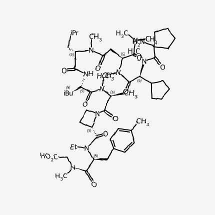 CC[C@H](C)[C@H](NC(=O)[C@H](CC(C)C)N(C)C(=O)C[C@@H](C(=O)N(C)C)N(C)C(=O)[C@H](C1CCCC1)N(C)C(=O)C1(N)CCCC1)C(=O)N(C)[C@@H](C)C(=O)N1CC[C@H]1C(=O)N(CC)[C@@H](Cc1ccc(C)cc1)C(=O)N(C)CC(=O)O